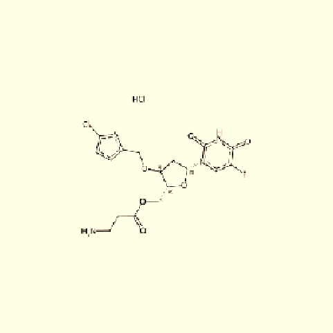 Cl.NCCC(=O)OC[C@H]1O[C@@H](n2cc(F)c(=O)[nH]c2=O)C[C@@H]1OCc1ccc(Cl)s1